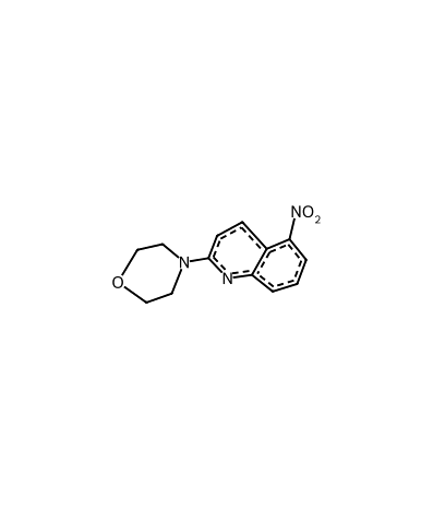 O=[N+]([O-])c1cccc2nc(N3CCOCC3)ccc12